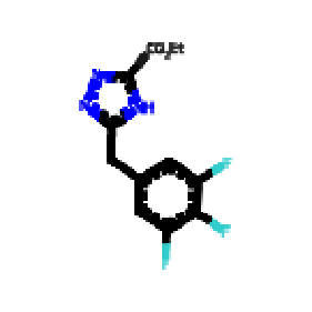 CCOC(=O)c1nnc(Cc2cc(F)c(F)c(F)c2)[nH]1